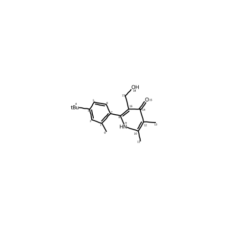 Cc1cc(C(C)(C)C)ccc1-c1[nH]c(C)c(C)c(=O)c1CO